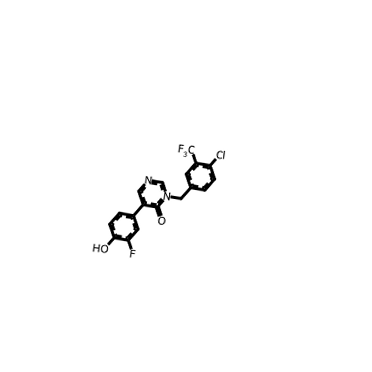 O=c1c(-c2ccc(O)c(F)c2)cncn1Cc1ccc(Cl)c(C(F)(F)F)c1